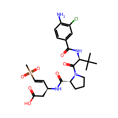 CC(C)(C)[C@H](NC(=O)c1ccc(N)c(Cl)c1)C(=O)N1CCC[C@@H]1C(=O)N[C@H](/C=C/S(C)(=O)=O)CC(=O)O